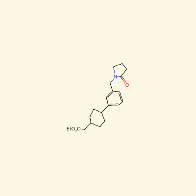 CCOC(=O)CC1CCC(c2cccc(CN3CCCC3=O)c2)CC1